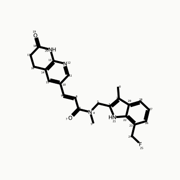 Cc1c(CN(C)C(=O)/C=C/c2cnc3c(c2)CCC(=O)N3)[nH]c2c(CF)cccc12